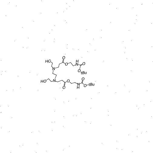 CC(C)(C)OC(=O)NCCOC(=O)CCN(CCO)CCN(CCO)CCC(=O)OCCNC(=O)OC(C)(C)C